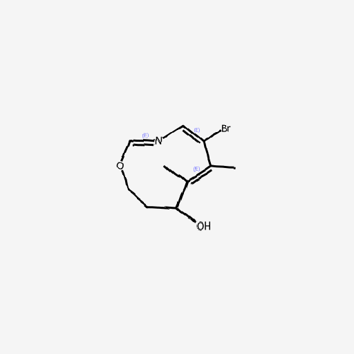 CC1=C(/C)C(O)CCO/C=N/C=C\1Br